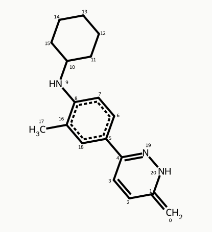 C=C1C=CC(c2ccc(NC3CCCCC3)c(C)c2)=NN1